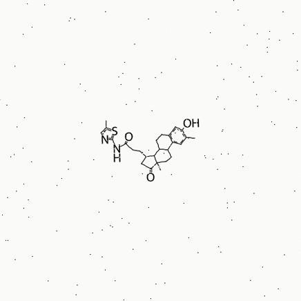 Cc1cnc(NC(=O)CCC2CC(=O)C3(C)CCC4c5cc(C)c(O)cc5CCC4C23)s1